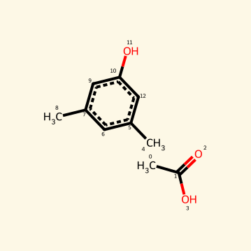 CC(=O)O.Cc1cc(C)cc(O)c1